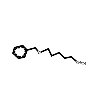 [CH2]CCCCCCCCCCCOCc1ccccc1